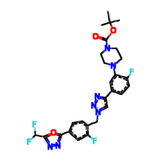 CC(C)(C)OC(=O)N1CCN(c2cc(-c3cn(Cc4ccc(-c5nnc(C(F)F)o5)cc4F)nn3)ccc2F)CC1